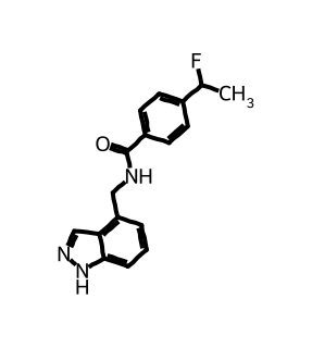 CC(F)c1ccc(C(=O)NCc2cccc3[nH]ncc23)cc1